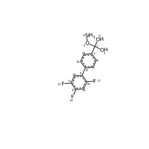 OC(O)(O[SiH3])c1ccc(-c2cc(F)c(F)cc2F)cc1